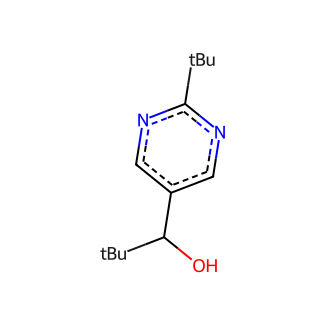 CC(C)(C)c1ncc(C(O)C(C)(C)C)cn1